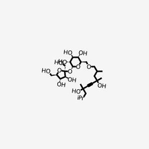 CC(C)CC(C)(O)C#CC(C)(O)CC(C)COC[C@H]1O[C@H](O[C@]2(CO)O[C@H](CO)[C@@H](O)[C@@H]2O)[C@H](O)[C@@H](O)[C@@H]1O